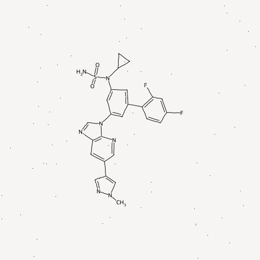 Cn1cc(-c2cnc3c(c2)ncn3-c2cc(-c3ccc(F)cc3F)cc(N(C3CC3)S(N)(=O)=O)c2)cn1